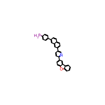 Pc1ccc(-c2ccc3ccc(-c4ccc(-c5ccc6oc7ccccc7c6c5)nc4)cc3c2)cc1